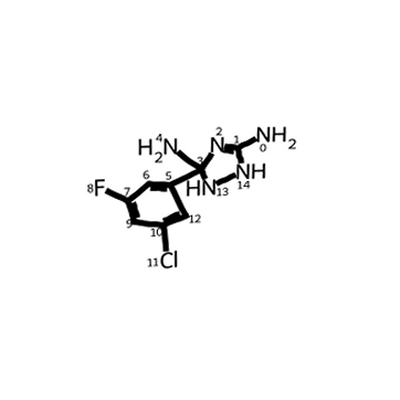 NC1=NC(N)(c2cc(F)cc(Cl)c2)NN1